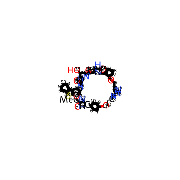 COC(=O)[C@H]1Cc2ccc(cc2)OCCn2cc(nn2)COc2ccccc2C(=O)N[C@H](CC(C)C)C(=O)N2C[C@@H](O)C[C@@H]2C(=O)N[C@@H](Cc2csc3ccccc23)C(=O)N1